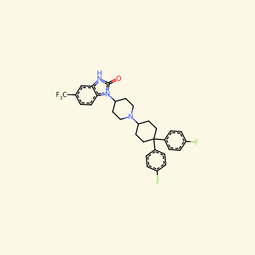 O=c1[nH]c2cc(C(F)(F)F)ccc2n1C1CCN(C2CCC(c3ccc(F)cc3)(c3ccc(F)cc3)CC2)CC1